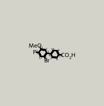 COc1cc(-c2ccc(C(=O)O)cc2)c(Br)cc1F